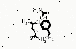 C=C(Cl)COC(N)=S.CCc1ccccc1.NC(O)=S